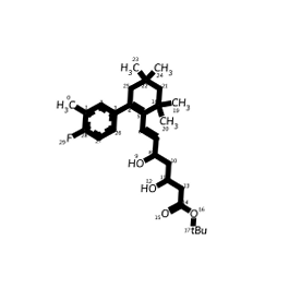 Cc1cc(C2=C(/C=C/C(O)CC(O)CC(=O)OC(C)(C)C)C(C)(C)CC(C)(C)C2)ccc1F